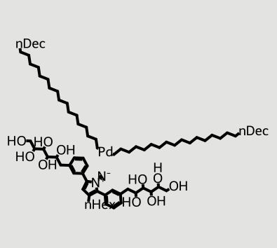 CCCCCCC1=C(c2cccc(CC(O)C(O)C(O)C(O)CO)c2)[N+](=[N-])C(c2cccc(CC(O)C(O)C(O)C(O)CO)c2)=C1.CCCCCCCCCCCCCCCCCCCCCCCCCC[CH2][Pd][CH2]CCCCCCCCCCCCCCCCCCCCCCCCCC